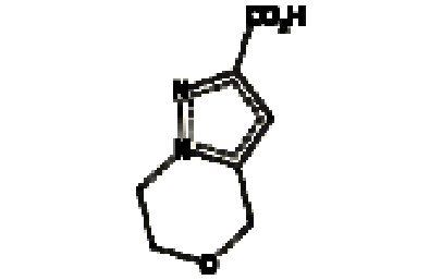 O=C(O)c1cc2n(n1)CCOC2